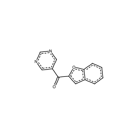 O=C(c1cncnc1)c1cc2ccccc2o1